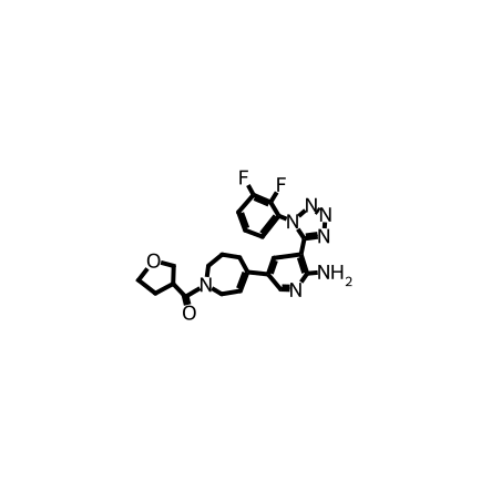 Nc1ncc(C2=CCN(C(=O)C3CCOC3)CCC2)cc1-c1nnnn1-c1cccc(F)c1F